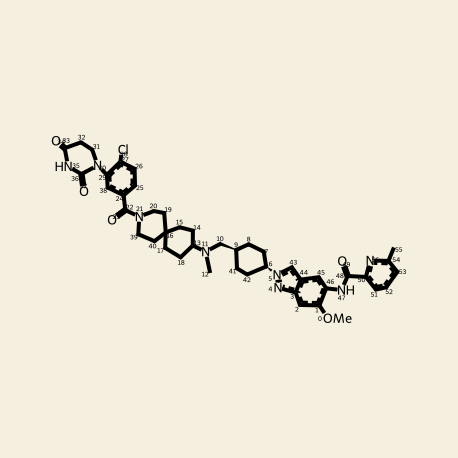 COc1cc2nn([C@H]3CC[C@H](CN(C)C4CCC5(CC4)CCN(C(=O)c4ccc(Cl)c(N6CCC(=O)NC6=O)c4)CC5)CC3)cc2cc1NC(=O)c1cccc(C)n1